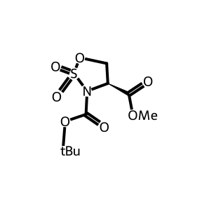 COC(=O)[C@@H]1COS(=O)(=O)N1C(=O)OC(C)(C)C